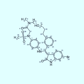 CN(C)C(=O)CN(c1ccc(N/C(=C2\C(=O)Nc3cc(Br)ccc32)c2cccc(CCC(=O)O)c2)cc1)S(C)(=O)=O